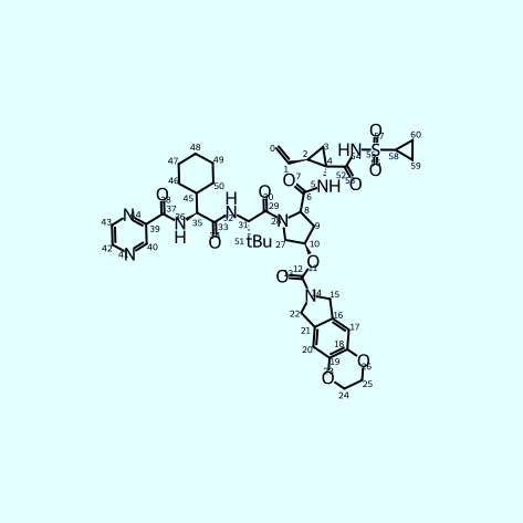 C=C[C@H]1C[C@@]1(NC(=O)C1C[C@@H](OC(=O)N2Cc3cc4c(cc3C2)OCCO4)CN1C(=O)[C@@H](NC(=O)[C@@H](NC(=O)c1cnccn1)C1CCCCC1)C(C)(C)C)C(=O)NS(=O)(=O)C1CC1